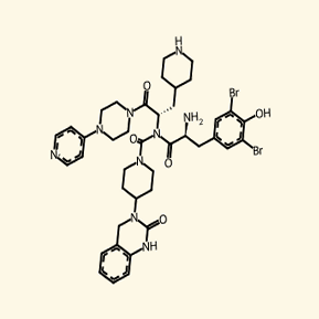 N[C@@H](Cc1cc(Br)c(O)c(Br)c1)C(=O)N(C(=O)N1CCC(N2Cc3ccccc3NC2=O)CC1)[C@@H](CC1CCNCC1)C(=O)N1CCN(c2ccncc2)CC1